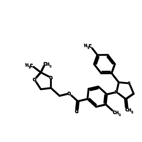 C=C1CSC(c2ccc(C)cc2)N1c1ccc(C(=O)OCC2COC(C)(C)O2)cc1C